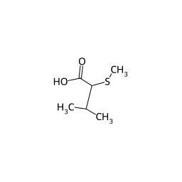 CSC(C(=O)O)C(C)C